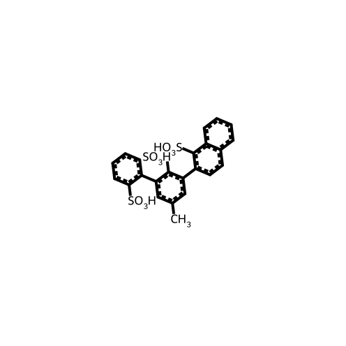 Cc1cc(-c2ccccc2S(=O)(=O)O)c(S(=O)(=O)O)c(-c2ccc3ccccc3c2S(=O)(=O)O)c1